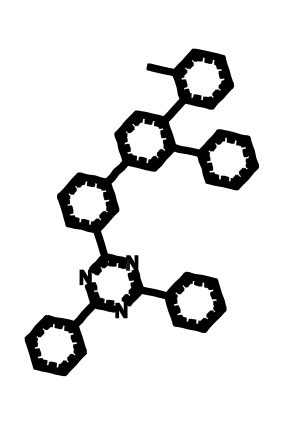 Cc1ccccc1-c1ccc(-c2cccc(-c3nc(-c4ccccc4)nc(-c4ccccc4)n3)c2)cc1-c1ccccc1